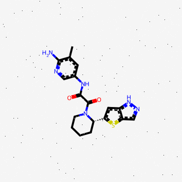 Cc1cc(NC(=O)C(=O)N2CCCC[C@H]2c2cc3[nH]ncc3s2)cnc1N